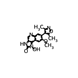 COc1cc2c(cc1-c1c(C)noc1C)ncc1[nH]c(=O)n(O)c12